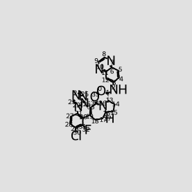 O=C(Nc1ccc2nccnc2c1)[C@@H]1CC[C@H]2CCC(c3c(-n4cnnn4)ccc(Cl)c3F)=CC(=O)N21